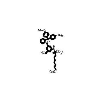 COc1ccc(C(OCc2cc(CO)cc(NC(C)(CCCCCCCC=O)C(=O)O)c2)(c2ccccc2)c2ccc(OC)cc2)cc1